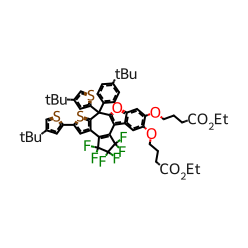 CCOC(=O)CCCOc1cc2oc3c(c2cc1OCCCC(=O)OCC)C1=C(c2cc(-c4cc(C(C)(C)C)cs4)sc2C3(c2ccc(C(C)(C)C)cc2)c2cc(C(C)(C)C)cs2)C(F)(F)C(F)(F)C1(F)F